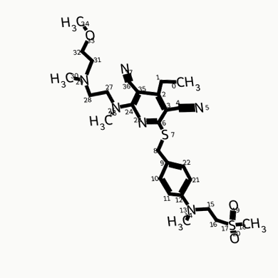 CCc1c(C#N)c(SCc2ccc(N(C)CCS(C)(=O)=O)cc2)nc(N(C)CCN(C)CCOC)c1C#N